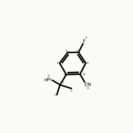 CCCC(C)(C)c1ccc(F)cc1C#N